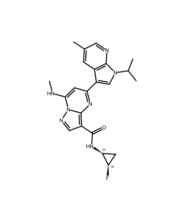 CNc1cc(-c2cn(C(C)C)c3ncc(C)cc23)nc2c(C(=O)N[C@H]3C[C@H]3F)cnn12